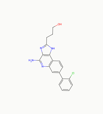 Nc1nc2cc(-c3ccccc3Cl)ccc2c2[nH]c(CCCO)nc12